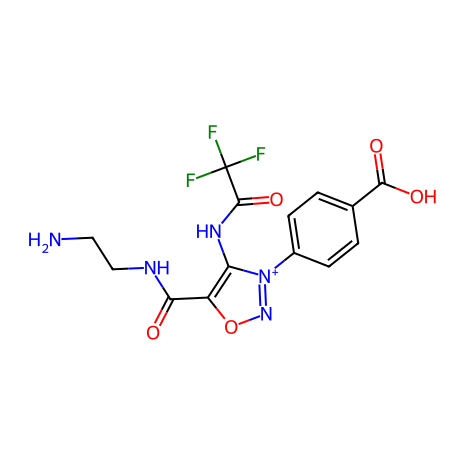 NCCNC(=O)c1on[n+](-c2ccc(C(=O)O)cc2)c1NC(=O)C(F)(F)F